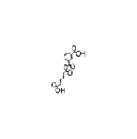 O=C(O)CCCCC(=O)OC(=O)c1cccc(C(=O)O)c1